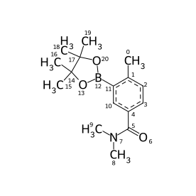 Cc1ccc(C(=O)N(C)C)cc1B1OC(C)(C)C(C)(C)O1